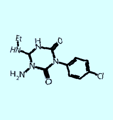 CCNC1NC(=O)N(c2ccc(Cl)cc2)C(=O)N1N